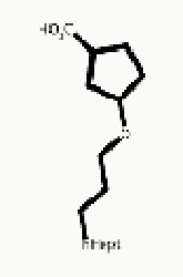 CCCCCCCCCCOC1CCC(C(=O)O)C1